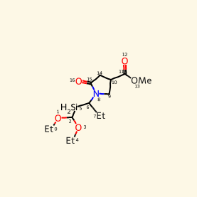 CCOC(OCC)[SiH2]C(CC)N1CC(C(=O)OC)CC1=O